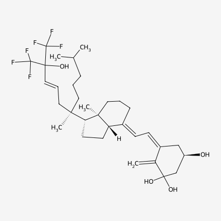 C=C1/C(=C\C=C2/CCC[C@]3(C)[C@@H]([C@@](C)(C/C=C/C(O)(C(F)(F)F)C(F)(F)F)CCCC(C)C)CC[C@@H]23)C[C@@H](O)CC1(O)O